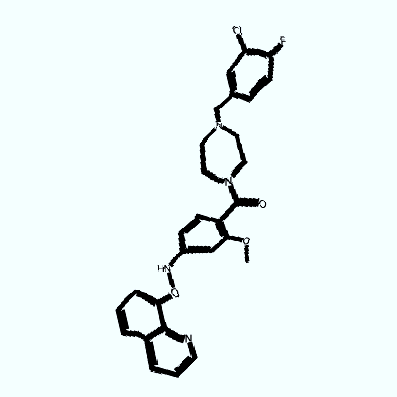 COc1cc(NOc2cccc3cccnc23)ccc1C(=O)N1CCN(Cc2ccc(F)c(Cl)c2)CC1